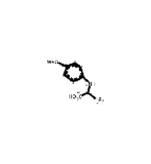 CCCCC(Nc1ccc(OC)cc1)C(=O)O